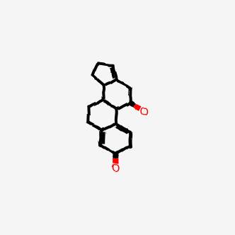 O=C1C=C2CCC3C4CCC=C4CC(=O)C3C2=CC1